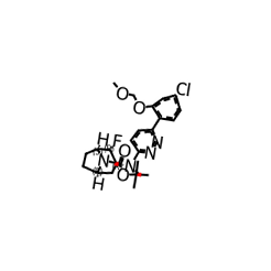 COCOc1cc(Cl)ccc1-c1ccc(N(C)[C@@H]2C[C@H]3CC[C@@H]([C@@H]2F)N3C(=O)OC(C)(C)C)nn1